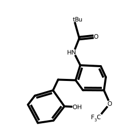 CC(C)(C)C(=O)Nc1ccc(OC(F)(F)F)cc1Cc1ccccc1O